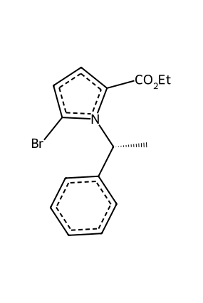 CCOC(=O)c1ccc(Br)n1[C@H](C)c1ccccc1